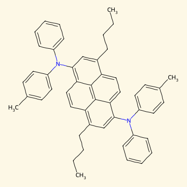 CCCCc1cc(N(c2ccccc2)c2ccc(C)cc2)c2ccc3c(CCCC)cc(N(c4ccccc4)c4ccc(C)cc4)c4ccc1c2c34